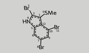 CSc1c(Br)[nH]c2cc(Br)cc(Br)c12